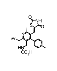 Cc1ccc(-c2c(C=C3SC(=O)NC3=O)c(C)nc(CC(C)C)c2CNC(=O)O)cc1